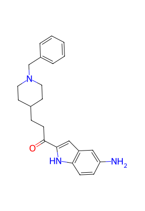 Nc1ccc2[nH]c(C(=O)CCC3CCN(Cc4ccccc4)CC3)cc2c1